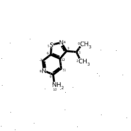 CC(C)c1nsc2cnc(N)cc12